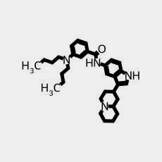 CCCCN(CCCC)c1cccc(C(=O)Nc2ccc3[nH]cc(C4CCN5CCCCC5C4)c3c2)c1